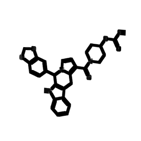 O=C(O)OC1CCN(C(=O)c2ccn3c2Cc2c([nH]c4ccccc24)C3c2ccc3c(c2)OCO3)CC1